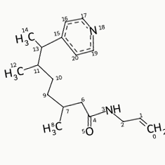 C=CCNC(=O)CC(C)CCC(C)C(C)c1ccncc1